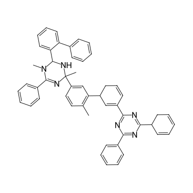 Cc1ccc(C2(C)N=C(c3ccccc3)N(C)C(c3ccccc3-c3ccccc3)N2)cc1C1C=C(c2nc(-c3ccccc3)nc(C3C=CC=CC3)n2)C=CC1